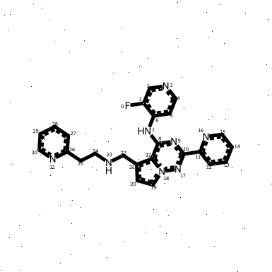 Fc1cnccc1Nc1nc(-c2ccccn2)nn2ccc(CNCCc3ccccn3)c12